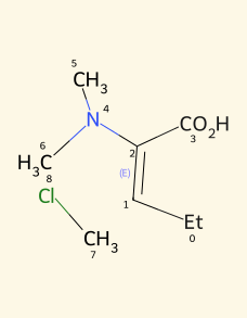 CC/C=C(\C(=O)O)N(C)C.CCl